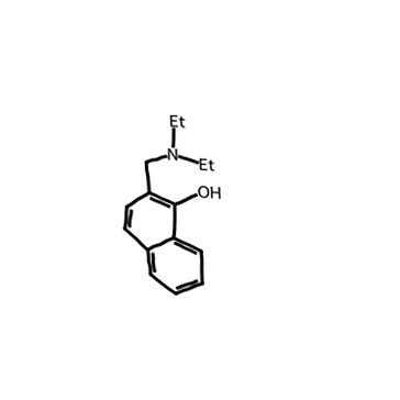 CCN(CC)Cc1ccc2ccccc2c1O